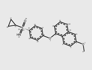 COc1ccc2c(Oc3ccc([S@@](=N)(=O)C4CC4)cc3)ccnc2c1